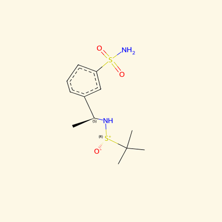 C[C@H](N[S@@+]([O-])C(C)(C)C)c1cccc(S(N)(=O)=O)c1